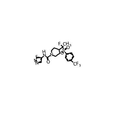 CC(F)(C1CCN(C(=O)Nc2cnns2)CC1)S(=O)(=O)c1ccc(C(F)(F)F)cc1